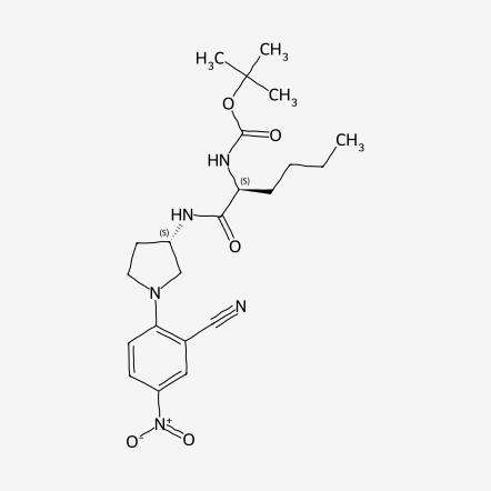 CCCC[C@H](NC(=O)OC(C)(C)C)C(=O)N[C@H]1CCN(c2ccc([N+](=O)[O-])cc2C#N)C1